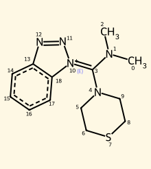 CN(C)/C(N1CCSCC1)=[N+]1\N=Nc2ccccc21